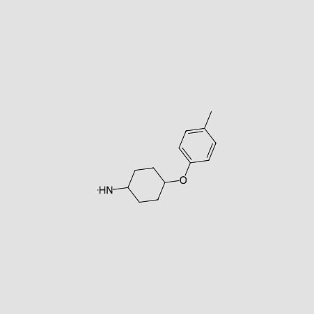 Cc1ccc(OC2CCC([NH])CC2)cc1